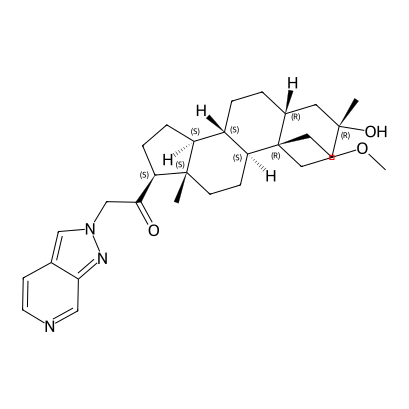 COCC[C@]12CC[C@@](C)(O)C[C@H]1CC[C@H]1[C@@H]3CC[C@H](C(=O)Cn4cc5ccncc5n4)[C@@]3(C)CC[C@@H]12